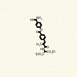 CCOC(=O)C(NC(=O)/C(C)=C/c1ccc(C(=O)Oc2ccc(C(=N)N)cc2)cc1)C(=O)OCC